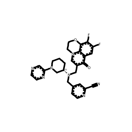 N#Cc1cc(CN(Cc2cn3c4c(c(F)c(F)cc4c2=O)OCC3)[C@H]2CCCN(c3cnccn3)C2)ccn1